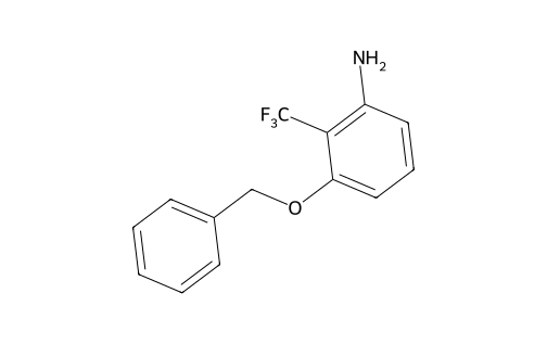 Nc1cccc(OCc2ccccc2)c1C(F)(F)F